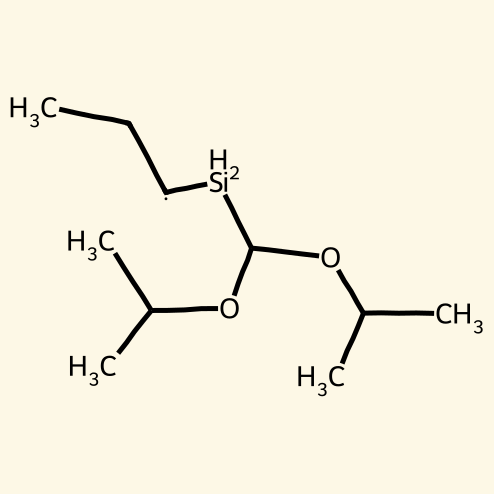 CC[CH][SiH2]C(OC(C)C)OC(C)C